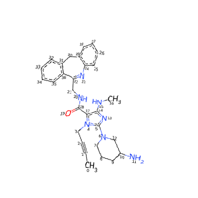 CC#CCn1c(N2CCCC(N)C2)nc(NC)c1C(=O)NCC1=Nc2ccccc2Cc2ccccc21